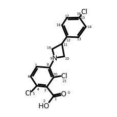 O=C(O)c1c(Cl)ccc(N2CC(c3ccc(Cl)cc3)C2)c1Cl